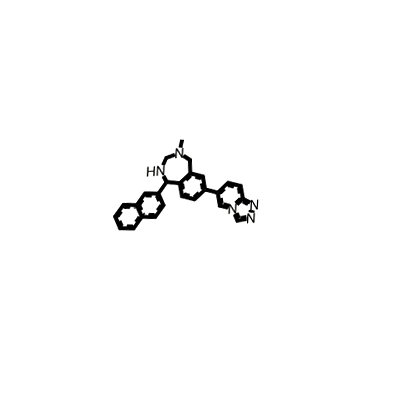 CN1CNC(c2ccc3ccccc3c2)c2ccc(-c3ccc4nncn4c3)cc2C1